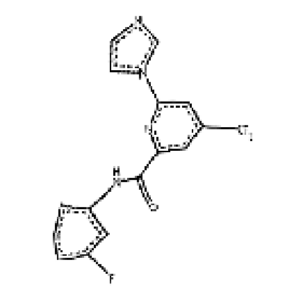 O=C(Nc1cccc(F)c1)c1cc(C(F)(F)F)cc(-n2ccnc2)n1